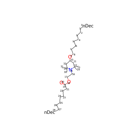 CCCCCCCCCCCCCCCCCCOC1CC(C)(C)N(CCOC(=O)CCCCCCCCCCCCCCCCC)C(C)(C)C1